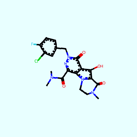 CN(C)C(=O)c1nn(Cc2ccc(F)c(Cl)c2)c(=O)c2c(O)c3n(c12)CCN(C)C3=O